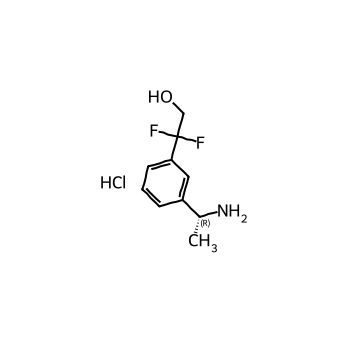 C[C@@H](N)c1cccc(C(F)(F)CO)c1.Cl